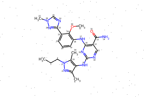 CCCn1nc(C)c(Nc2ncc(C(N)=O)c(Nc3cccc(-c4ncn(C)n4)c3OC)n2)c1C